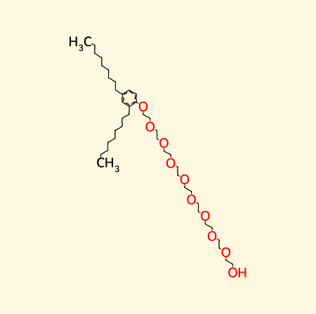 CCCCCCCCCc1ccc(OCCOCCOCCOCCOCCOCCOCCOCCOCCO)c(CCCCCCCCC)c1